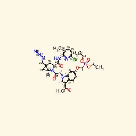 CCOP(=O)(COc1ccc2c(C(C)=O)cn(CC(=O)N3[C@H](C(=O)Nc4nc(Br)ccc4C)C[C@@]4(CN=[N+]=[N-])C[C@@H]34)c2c1)OCC